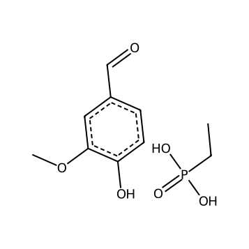 CCP(=O)(O)O.COc1cc(C=O)ccc1O